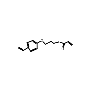 C=CC(=O)OCCCOc1ccc(C=C)cc1